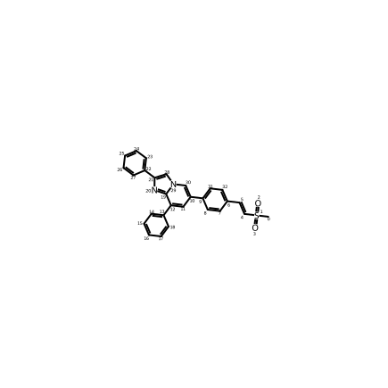 CS(=O)(=O)C=Cc1ccc(-c2cc(-c3ccccc3)c3nc(-c4ccccc4)cn3c2)cc1